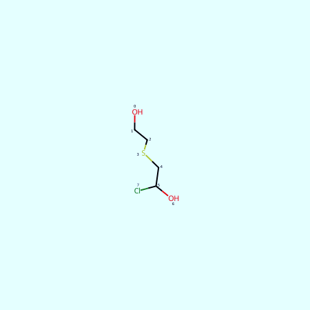 OCCSCC(O)Cl